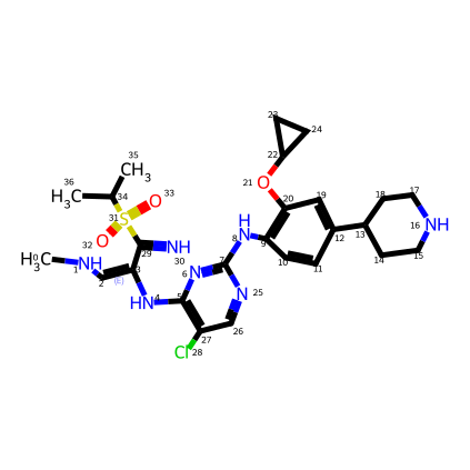 CN/C=C(/Nc1nc(Nc2ccc(C3CCNCC3)cc2OC2CC2)ncc1Cl)C(=N)S(=O)(=O)C(C)C